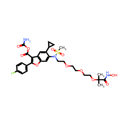 CC(C)(OCCOCCOCCN(c1cc2oc(-c3ccc(F)cc3)c(C(=O)OC(N)=O)c2cc1C1CC1)S(C)(=O)=O)C(=O)NO